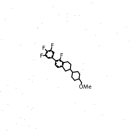 COCC1CCC(C2CCc3c(ccc(-c4cc(F)c(F)c(F)c4)c3F)C2)CC1